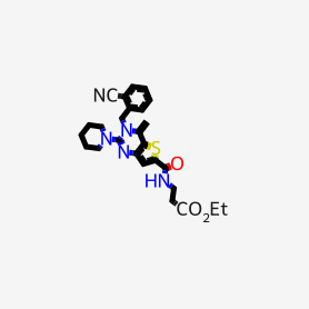 C=C1c2sc(C(=O)NCCC(=O)OCC)cc2N=C(N2CCCCC2)N1Cc1ccccc1C#N